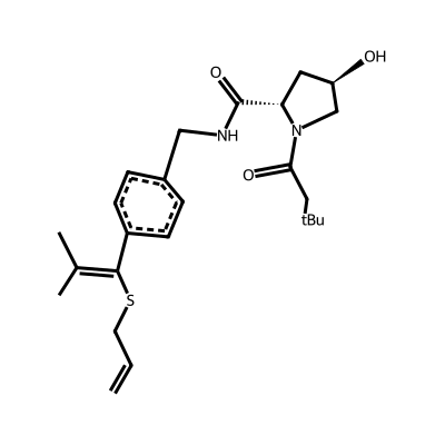 C=CCSC(=C(C)C)c1ccc(CNC(=O)[C@@H]2C[C@@H](O)CN2C(=O)CC(C)(C)C)cc1